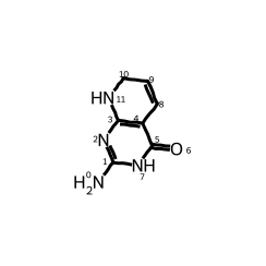 Nc1nc2c(c(=O)[nH]1)C=CCN2